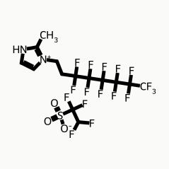 Cc1[nH]cc[n+]1CCC(F)(F)C(F)(F)C(F)(F)C(F)(F)C(F)(F)C(F)(F)F.O=S(=O)([O-])C(F)(F)C(F)F